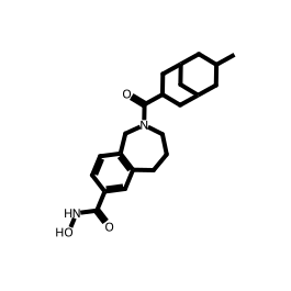 CC1CC2CC(C1)CC(C(=O)N1CCCc3cc(C(=O)NO)ccc3C1)C2